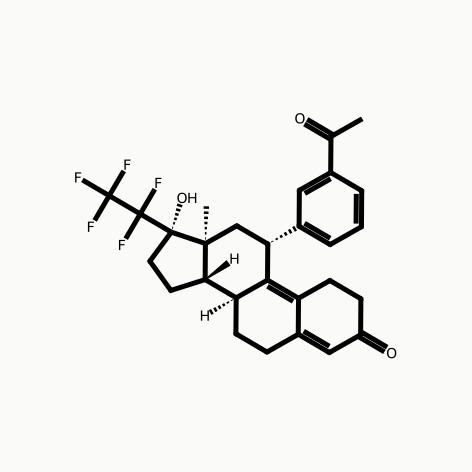 CC(=O)c1cccc([C@H]2C[C@@]3(C)[C@@H](CC[C@@]3(O)C(F)(F)C(F)(F)F)[C@@H]3CCC4=CC(=O)CCC4=C32)c1